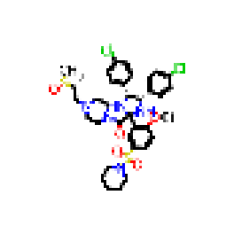 CCOc1ccc(S(=O)(=O)N2CCCCC2)cc1C1(C(=O)N2CCN(CC[S+](C)[O-])CC2)N[C@H](c2ccc(Cl)cc2)[C@H](c2ccc(Cl)cc2)N1